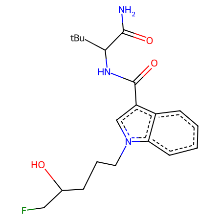 CC(C)(C)C(NC(=O)c1cn(CCCC(O)CF)c2ccccc12)C(N)=O